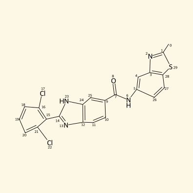 Cc1nc2cc(NC(=O)c3ccc4nc(-c5c(Cl)cccc5Cl)[nH]c4c3)ccc2s1